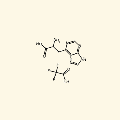 NC(Cc1ncnc2[nH]cnc12)C(=O)O.O=C(O)C(F)(F)F